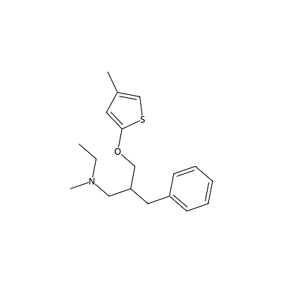 CCN(C)CC(COc1cc(C)cs1)Cc1ccccc1